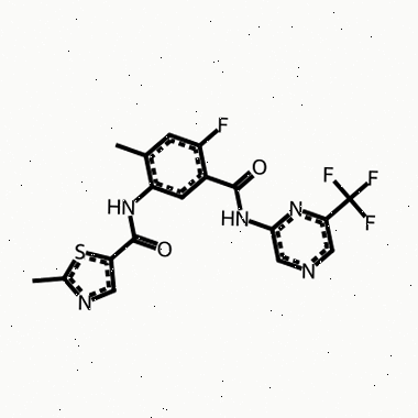 Cc1ncc(C(=O)Nc2cc(C(=O)Nc3cncc(C(F)(F)F)n3)c(F)cc2C)s1